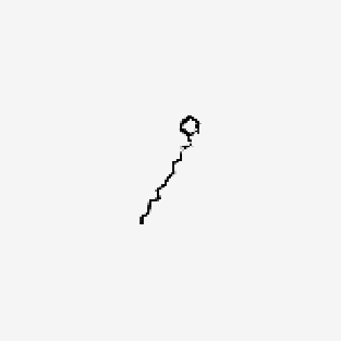 CCCCCCCCCCCSSc1ccccn1